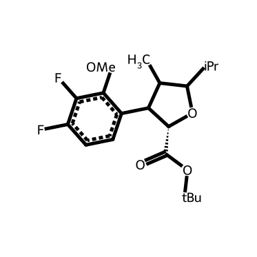 COc1c(C2C(C)C(C(C)C)O[C@@H]2C(=O)OC(C)(C)C)ccc(F)c1F